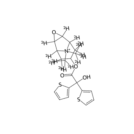 [2H]C1([2H])C(OC(=O)C(O)(c2cccs2)c2cccs2)C([2H])([2H])C2([2H])C3([2H])OC3([2H])C1([2H])[N+]2(C([2H])([2H])[2H])C([2H])([2H])[2H]